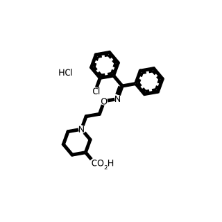 Cl.O=C(O)C1CCCN(CCON=C(c2ccccc2)c2ccccc2Cl)C1